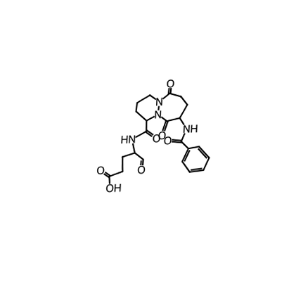 O=CC(CCC(=O)O)NC(=O)C1CCCN2C(=O)CCC(NC(=O)c3ccccc3)C(=O)N12